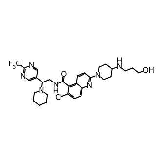 O=C(NCC(c1cnc(C(F)(F)F)nc1)N1CCCCC1)c1c(Cl)ccc2nc(N3CCC(NCCCO)CC3)ccc12